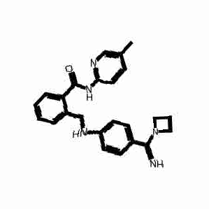 Cc1ccc(NC(=O)c2ccccc2CNc2ccc(C(=N)N3CCC3)cc2)nc1